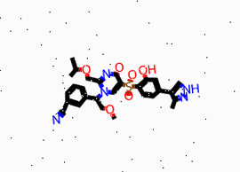 COCC(c1cccc(C#N)c1)n1cc(S(=O)(=O)c2ccc(-c3c[nH]nc3C)cc2O)c(=O)nc1COC(C)C